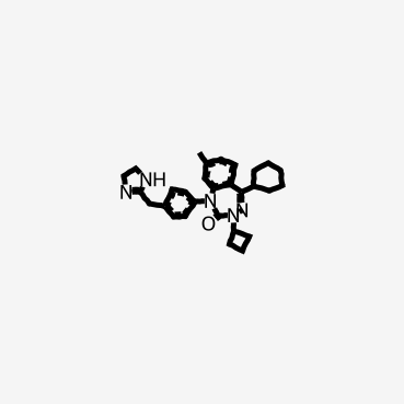 Cc1ccc2c(c1)N(c1ccc(CC3=NCCN3)cc1)C(=O)N(C1CCC1)N=C2C1CCCCC1